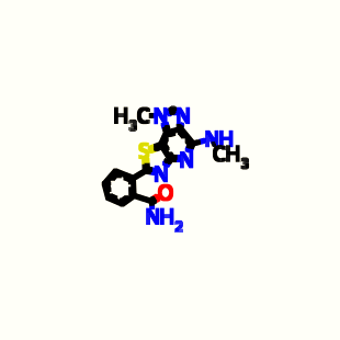 CNc1nc2nc(-c3ccccc3C(N)=O)sc2c2c1ncn2C